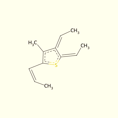 C/C=C\c1sc(=C/C)/c(=C\C)c1C